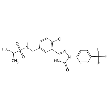 CC(C)S(=O)(=O)NCc1ccc(Cl)c(-c2nn(-c3ccc(C(F)(F)F)cc3)c(=O)[nH]2)c1